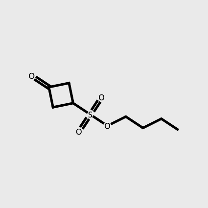 CCCCOS(=O)(=O)C1CC(=O)C1